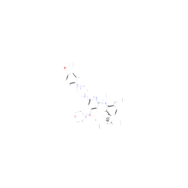 COc1ccc(N2CCN(c3cc(C(=O)N4CCOCC4)cc(Nc4cc(C(C)(C)C)ccc4C)n3)CC2)cc1